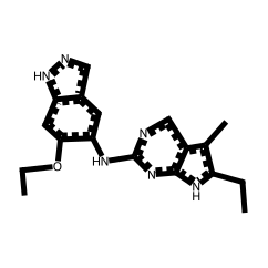 CCOc1cc2[nH]ncc2cc1Nc1ncc2c(C)c(CC)[nH]c2n1